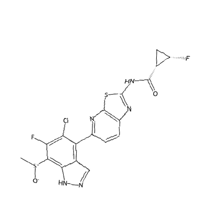 C[S+]([O-])c1c(F)c(Cl)c(-c2ccc3nc(NC(=O)[C@@H]4C[C@@H]4F)sc3n2)c2cn[nH]c12